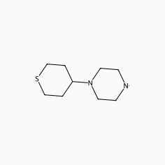 C1CN(C2CCSCC2)CC[N]1